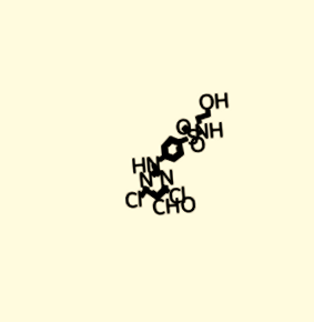 O=Cc1c(Cl)nc(Nc2ccc(S(=O)(=O)NCCO)cc2)nc1Cl